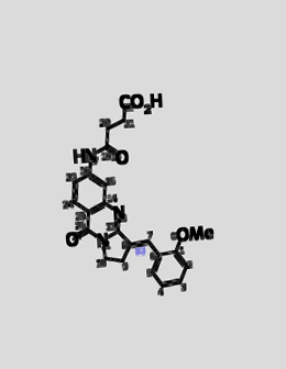 COc1ccccc1/C=C1\CCn2c1nc1cc(NC(=O)CCC(=O)O)ccc1c2=O